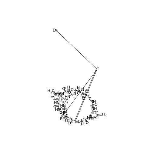 CCC1=C2CNC(=O)Nc3cc(C)ccc3NC(=O)NCC3=C(CC)C4=C(CC)C(CNC(=O)NC5=CC[C@H](C)C=C5NC(=O)NCC(C(CC)=C1CNC(=O)NC1C=C(C)C=C[C@@H]1NC(=O)NC4)[C@H]2CC)[C@H]3CC